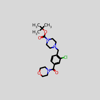 CC(C)(C)OC(=O)N1CCN(Cc2ccc(C(=O)N3CCOCC3)cc2Cl)CC1